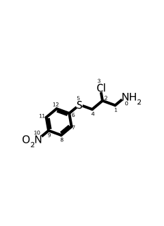 NCC(Cl)CSc1ccc([N+](=O)[O-])cc1